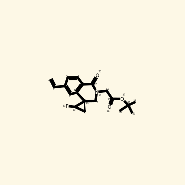 C=Cc1ccc2c(c1)[C@]1(CC1F)CN(CC(=O)OC(C)(C)C)C2=O